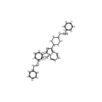 N[N+]12C=CN=CC1=C(C1CCC(CNc3ccccc3)CC1)N=C2c1cccc(OCc2ccccc2)c1